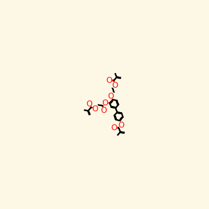 C=C(C)C(=O)OCCOc1ccc(-c2ccc(OC(=O)C(=C)C)cc2)cc1OC(=O)COC(=O)C(=C)C